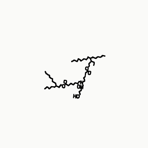 CCCCCCCCC(CCCCCC)C(CC)CCOC(=O)CCCCN(CCCCCO)CC(O)CCCCC(=O)OCCC(CCCCC)CCCCCCC